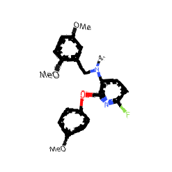 COc1ccc(Oc2nc(F)ccc2N(Cc2cc(OC)ccc2OC)C(C)=O)cc1